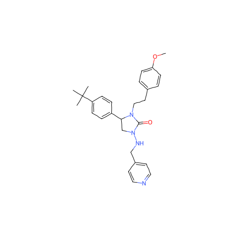 COc1ccc(CCN2C(=O)N(NCc3ccncc3)CC2c2ccc(C(C)(C)C)cc2)cc1